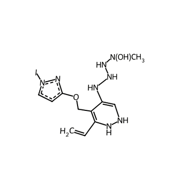 C=CC1=C(COc2ccn(I)n2)C(NNNN(C)O)=CNN1